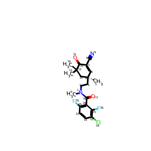 CN(CC[C@]1(C)C=C(C#N)C(=O)C(C)(C)C1)C(=O)c1c(F)ccc(Cl)c1F